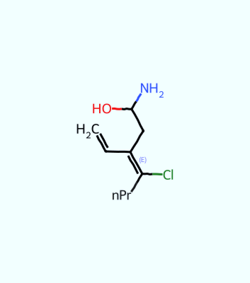 C=C/C(CC(N)O)=C(/Cl)CCC